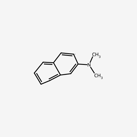 CN(C)c1[c]cc2ccccc2c1